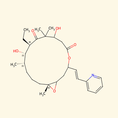 CC[C@H]1C(=O)C(C)(C)C(O)CC(=O)OC(C=Cc2ccccn2)CC2O[C@]2(C)CCC[C@H](C)[C@@H]1O